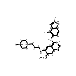 COc1cc2ncnc(Oc3ccc4[nH]c(C)cc4c3F)c2cc1OCCCN1CCN(C)CC1